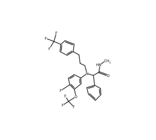 CNC(=O)C(c1ccccc1)N(CCCc1ccc(C(F)(F)F)cc1)c1ccc(F)c(OC(F)(F)F)c1